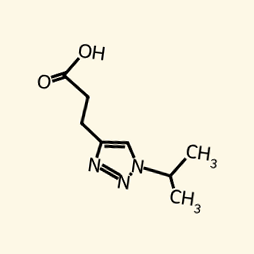 CC(C)n1cc(CCC(=O)O)nn1